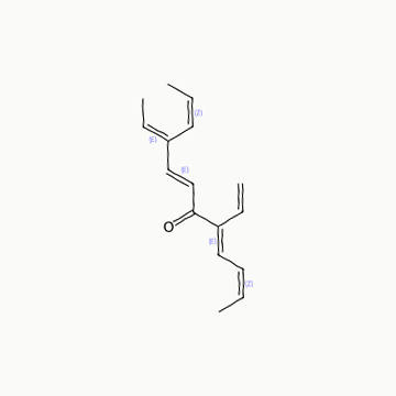 C=C/C(=C\C=C/C)C(=O)/C=C/C(/C=C\C)=C/C